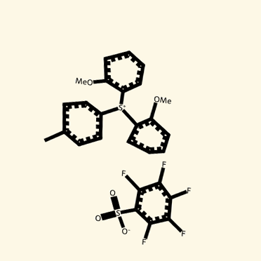 COc1ccccc1[S+](c1ccc(C)cc1)c1ccccc1OC.O=S(=O)([O-])c1c(F)c(F)c(F)c(F)c1F